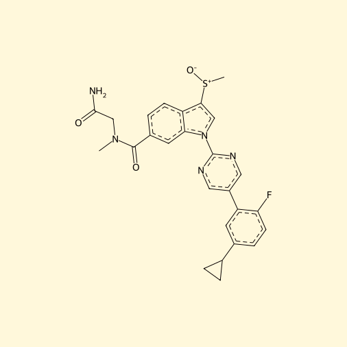 CN(CC(N)=O)C(=O)c1ccc2c([S+](C)[O-])cn(-c3ncc(-c4cc(C5CC5)ccc4F)cn3)c2c1